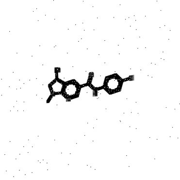 CCC1CN(C)c2ncc(C(=O)Nc3ccc(Cl)cc3)cc21